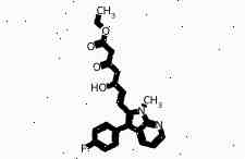 CCOC(=O)CC(=O)CC(O)C=Cc1c(-c2ccc(F)cc2)c2cccnc2n1C